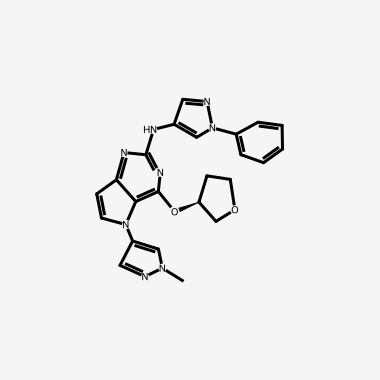 Cn1cc(-n2ccc3nc(Nc4cnn(-c5ccccc5)c4)nc(O[C@H]4CCOC4)c32)cn1